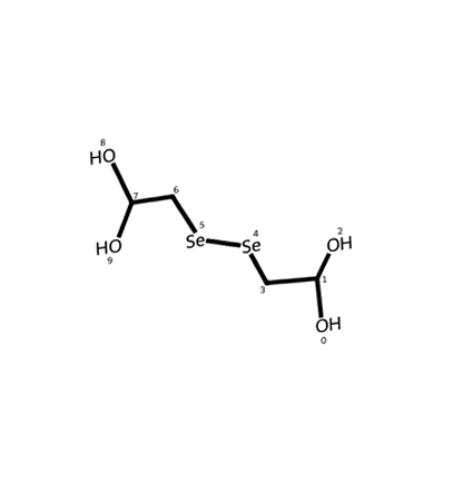 OC(O)C[Se][Se]CC(O)O